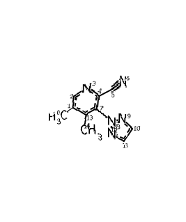 Cc1cnc(C#N)c(-n2nccn2)c1C